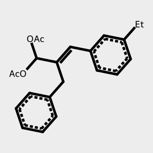 CCc1cccc(/C=C(\Cc2ccccc2)C(OC(C)=O)OC(C)=O)c1